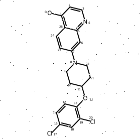 [O]c1ccnc2cc(N3CCC(Oc4ccc(Cl)cc4Cl)CC3)ccc12